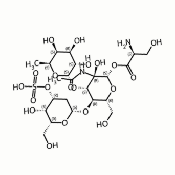 CC(=O)N[C@]1(O)[C@H](OC(=O)[C@@H](N)CO)O[C@H](CO)[C@@H](O[C@H]2C[C@@H](OS(=O)(=O)O)[C@@H](O)[C@@H](CO)O2)[C@@H]1O[C@@H]1O[C@@H](C)[C@@H](O)[C@@H](O)[C@@H]1O